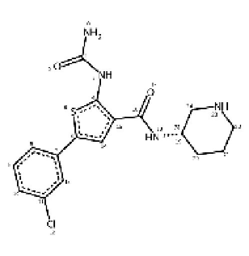 NC(=O)Nc1sc(-c2cccc(Cl)c2)cc1C(=O)N[C@H]1CCCNC1